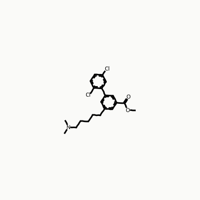 COC(=O)c1cc(CCCCCN(C)C)cc(-c2cc(Cl)ccc2Cl)c1